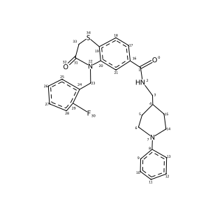 O=C(NCC1CCN(c2ccccc2)CC1)c1ccc2c(c1)N(Cc1ccccc1F)C(=O)CS2